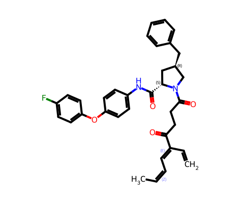 C=C/C(=C\C=C/C)C(=O)CCC(=O)N1C[C@H](Cc2ccccc2)C[C@H]1C(=O)Nc1ccc(Oc2ccc(F)cc2)cc1